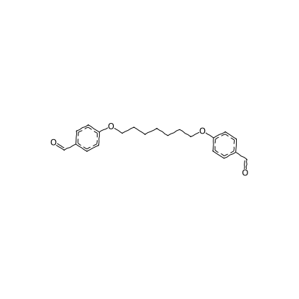 O=Cc1ccc(OCCCCCCCOc2ccc(C=O)cc2)cc1